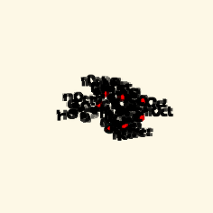 CCCCCCCCS(=O)(=O)N(F)C(N(F)S(=O)(=O)CCCCCCCC)(N(F)S(=O)(=O)CCCCCCCC)C(N(F)S(=O)(=O)CCCCCCCC)(N(F)S(=O)(=O)CCCCCCCC)C(OCCOP(=O)([O-])O)(N(F)S(=O)(=O)CCCCCCCC)[N+](F)(CC)S(=O)(=O)CCCCCCCC